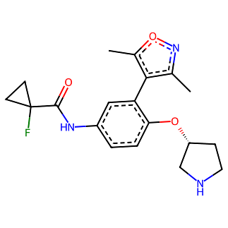 Cc1noc(C)c1-c1cc(NC(=O)C2(F)CC2)ccc1O[C@@H]1CCNC1